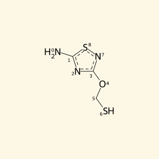 Nc1nc(OCS)ns1